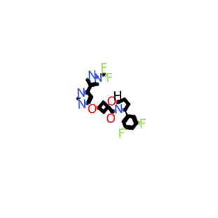 O=C1N2[C@@H](CC[C@H]2c2cc(F)cc(F)c2)OC12CC(Oc1cc(-c3cnn(C(F)F)c3)ncn1)C2